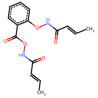 CC=CC(=O)NOC(=O)c1ccccc1ONC(=O)C=CC